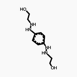 OCCNNc1ccc(NNCCO)cc1